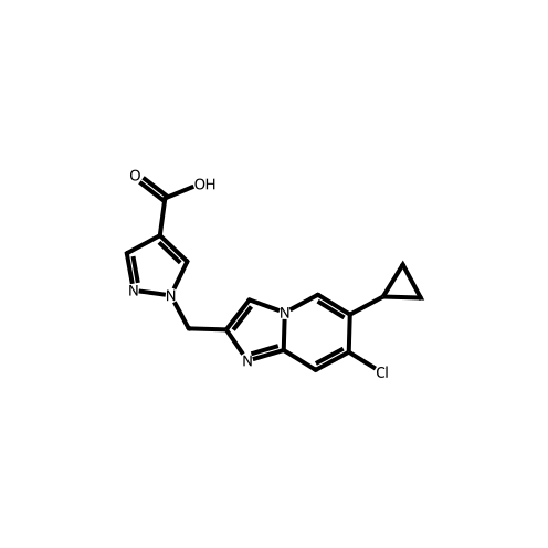 O=C(O)c1cnn(Cc2cn3cc(C4CC4)c(Cl)cc3n2)c1